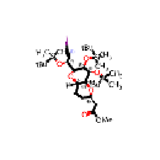 COC(=O)C[C@H]1CC[C@@H]2OC([C@H](/C=C/I)O[Si](C)(C)C(C)(C)C)[C@@H](O[Si](C)(C)C(C)(C)C)[C@@H](O[Si](C)(C)C(C)(C)C)[C@H]2O1